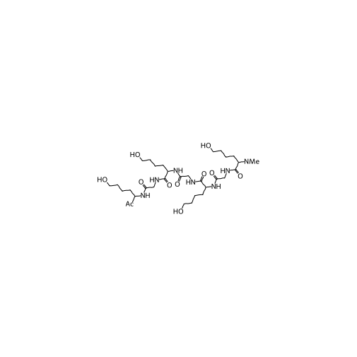 CNC(CCCCO)C(=O)NCC(=O)NC(CCCCO)C(=O)NCC(=O)NC(CCCCO)C(=O)NCC(=O)NC(CCCCO)C(C)=O